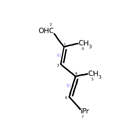 C/C(C=O)=C\C(C)=C\C(C)C